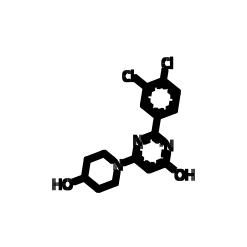 Oc1cc(N2CCC(O)CC2)nc(-c2ccc(Cl)c(Cl)c2)n1